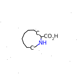 O=C(O)C1CCCCCCCCCN1